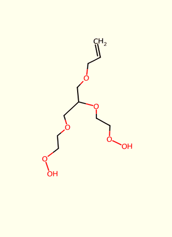 C=CCOCC(COCCOO)OCCOO